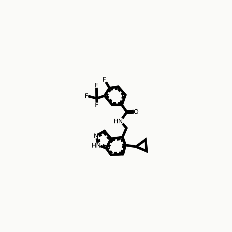 O=C(NCc1c(C2CC2)ccc2[nH]ncc12)c1ccc(F)c(C(F)(F)F)c1